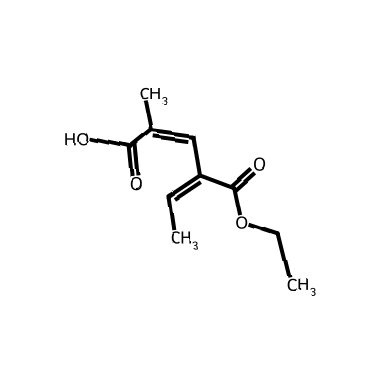 CC=C(C=C(C)C(=O)O)C(=O)OCC